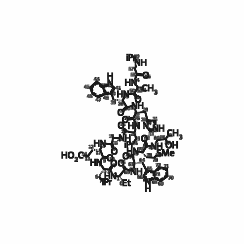 CC[C@H](NC(=O)[C@H](CC(C)C)NC(=O)[C@H](CCC(=O)O)NC(=O)CNC(=O)[C@H](CC(C)C)NC(=O)[C@H](Cc1c[nH]cn1)NC(=O)[C@H](Cc1c[nH]c2ccccc12)NC(=O)[C@H](C)NC(=O)CNC(C)C)C(=O)N[C@@H](Cc1c[nH]c2ccccc12)C(=O)N[C@@H](CCSC)C(=O)NC[C@@H](C)O